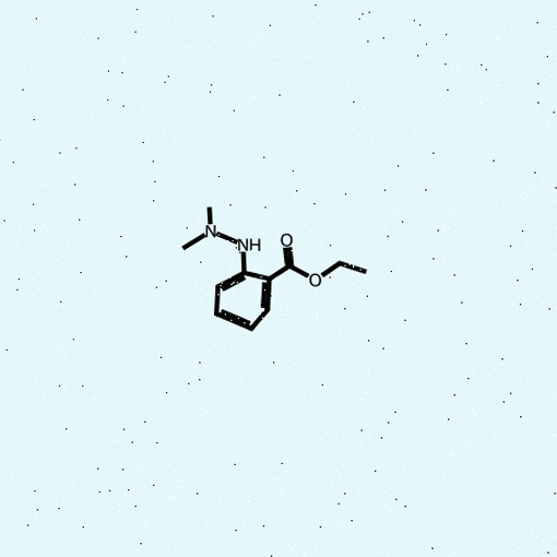 CCOC(=O)c1ccccc1NN(C)C